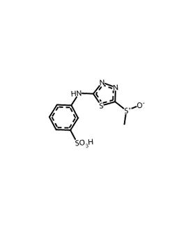 C[S+]([O-])c1nnc(Nc2cccc(S(=O)(=O)O)c2)s1